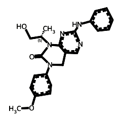 COc1ccc(N2Cc3cnc(Nc4ccccc4)nc3N([C@@H](C)CO)C2=O)cc1